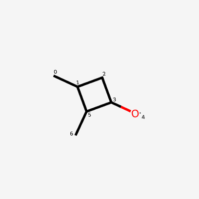 CC1CC([O])C1C